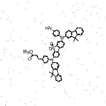 CCCc1ccc(N(c2ccc3c(c2)C(C)(C)c2ccccc2-3)c2ccc3c(c2)S(=O)(=O)c2cc(N(c4ccc(CCC(=O)OC)cc4)c4ccc5c(c4)C(C)(C)c4ccccc4-5)ccc2-3)cc1